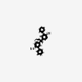 CC(C)CC(C)(c1ccc(O)c(-c2ccccc2)c1)c1ccc(O)c(-c2ccccc2)c1